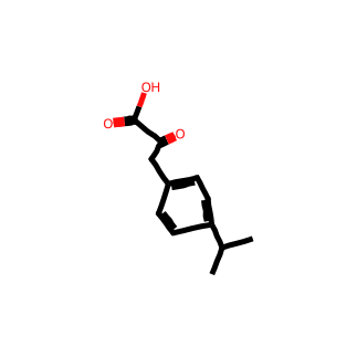 CC(C)c1ccc(CC(=O)C(=O)O)cc1